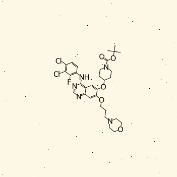 CC(C)(C)OC(=O)N1CCC(Oc2cc3c(Nc4ccc(Cl)c(Cl)c4F)ncnc3cc2OCCCN2CCOCC2)CC1